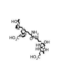 C=C(O)Cn1ccnc1CN(CCCC[C@@H](N)C(=O)NCCCC[C@@H](NC(=O)N[C@H](CCC(=O)O)C(=C)O)C(=C)O)Cc1nccn1CC(=O)O